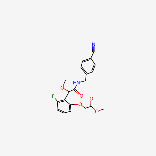 COC(=O)COc1cccc(F)c1C(OC)C(=O)NCc1ccc(C#N)cc1